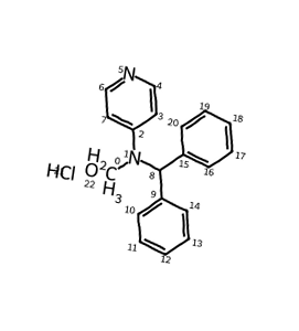 CN(c1ccncc1)C(c1ccccc1)c1ccccc1.Cl.O